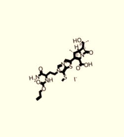 C=CCOC(=O)NC(CCn1c[n+]2cc(C3=C(C(=O)O)N4C(=O)[C@H]([C@@H](C)O)[C@H]4[C@H]3C)sc2c1SC)C(N)=O.[I-]